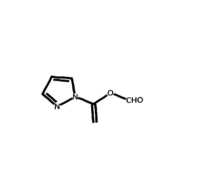 C=C(OC=O)n1cccn1